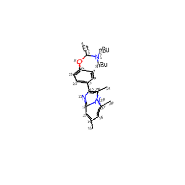 CCCCN(CCCC)C(CC)Oc1ccc(-c2nc3cc(C)cc(C)n3c2C)cc1